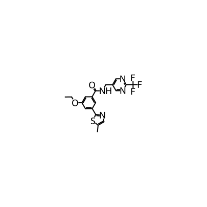 CCOc1cc(C(=O)NCc2cnc(C(F)(F)F)nc2)cc(-c2ncc(C)s2)c1